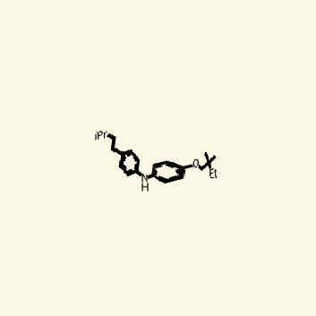 CCC(C)(C)COc1ccc(Nc2ccc(CCC(C)C)cc2)cc1